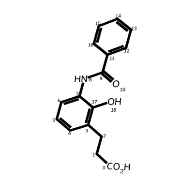 O=C(O)CCc1cccc(NC(=O)c2ccccc2)c1O